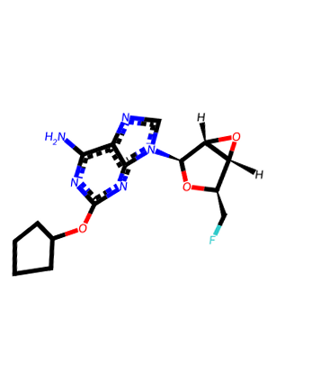 Nc1nc(OC2CCCC2)nc2c1ncn2[C@@H]1O[C@H](CF)[C@H]2O[C@H]21